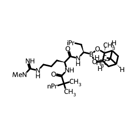 CCCC(C)(C)C(=O)N[C@@H](CCCNC(=N)NC)C(=O)N[C@@H](CC(C)C)B1O[C@@H]2C[C@@H]3C[C@@H](C3(C)C)[C@]2(C)O1